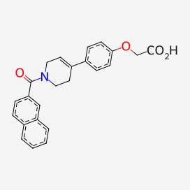 O=C(O)COc1ccc(C2=CCN(C(=O)c3ccc4ccccc4c3)CC2)cc1